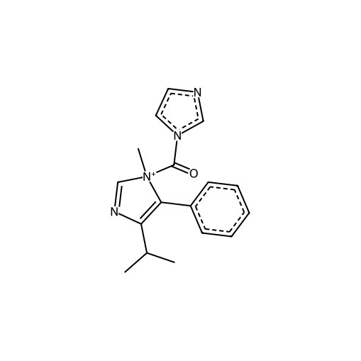 CC(C)C1=C(c2ccccc2)[N+](C)(C(=O)n2ccnc2)C=N1